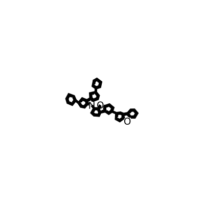 c1ccc(-c2ccc3c(c2)c2cc(-c4ccccc4)ccc2n3-c2cccc3c2oc2ccc(-c4ccc5oc6ccccc6c5c4)cc23)cc1